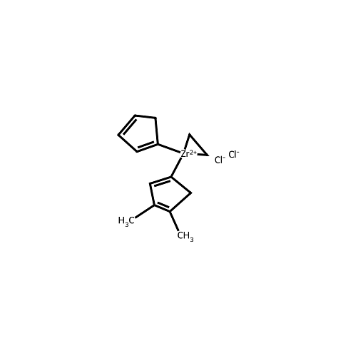 CC1=C(C)C[C]([Zr+2]2([C]3=CC=CC3)[CH2][CH2]2)=C1.[Cl-].[Cl-]